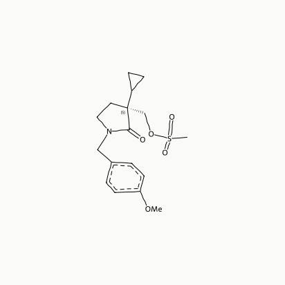 COc1ccc(CN2CC[C@@](COS(C)(=O)=O)(C3CC3)C2=O)cc1